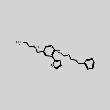 [CH2]CCNCc1ccc(OCCCCCc2ccccc2)c(-c2ncco2)c1